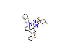 CC1C=Cc2sc3nc(-n4c5ccccc5c5cc6ccccc6cc54)c(-c4ccc5c(c4)sc4ccccc45)nc3c2C1